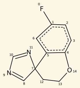 Fc1ccc2c(c1)C1(C=NC=N1)CCO2